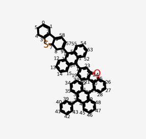 C1=CC2=C(CC1)SC1CC(c3c4ccccc4c(-c4ccc5c(c4)oc4cccc(-c6c7ccccc7c(-c7ccccc7)c7ccccc67)c45)c4ccccc34)=CC=C21